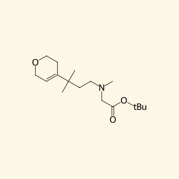 CN(CCC(C)(C)C1=CCOCC1)CC(=O)OC(C)(C)C